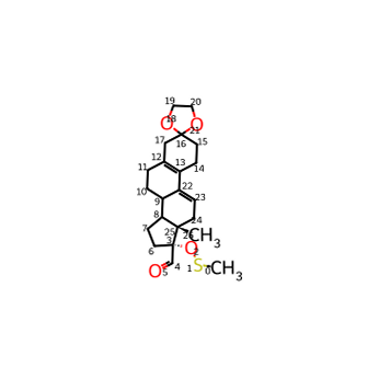 CSO[C@]1(C=O)CCC2C3CCC4=C(CCC5(C4)OCCO5)C3=CC[C@@]21C